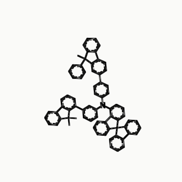 CC1(C)c2ccccc2-c2cccc(-c3cccc(N(c4ccc(-c5ccc6c(c5)C(C)(c5ccccc5)c5ccccc5-6)cc4)c4cccc5c4-c4ccccc4C54c5ccccc5-c5ccccc54)c3)c21